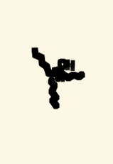 CCCCCC[PH](CCO)(CCCCCC)CCCCCC